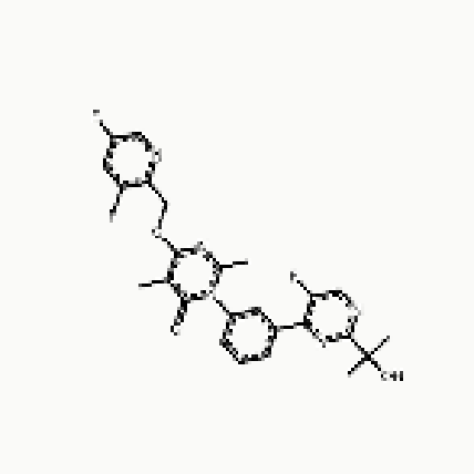 Cc1c(OCc2ncc(F)cc2F)nc(C)n(-c2cccc(-c3nc(C(C)(C)O)ncc3F)c2)c1=O